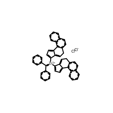 C1=C2C(=CC=[C]2[Zr+2]([C]2=CC=C3C2=CCc2ccc4ccccc4c23)=[C](c2ccccc2)c2ccccc2)c2c(ccc3ccccc23)C1.[Cl-].[Cl-]